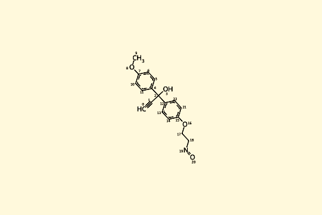 C#CC(O)(c1ccc(OC)cc1)c1ccc(OCCN=O)cc1